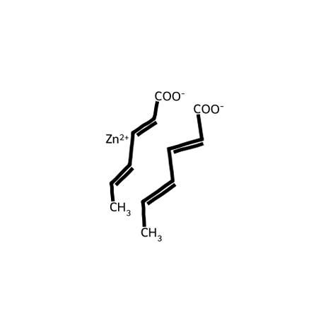 CC=CC=CC(=O)[O-].CC=CC=CC(=O)[O-].[Zn+2]